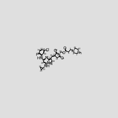 CN1CCN(CCC(=O)OCN2C(=O)C/C(=C\c3cnn4c(NC5CC5)cc(Nc5cc(Cl)ccc5F)nc34)C2=O)CC1